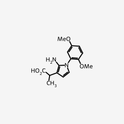 COc1ccc(OC)c(-n2ccc(C(C)C(=O)O)c2N)c1